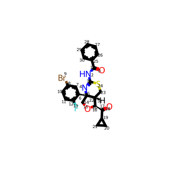 O=C(NC1=N[C@@]2(c3cc(Br)ccc3F)CO[C@H](C(=O)C3CC3)[C@H]2CS1)c1ccccc1